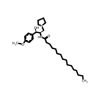 CCCCCCCCCCCCCCCC(=O)N[C@H](CN1CCCC1)[C@H](O)c1ccc(OC)cc1